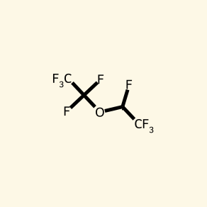 F[C](OC(F)(F)C(F)(F)F)C(F)(F)F